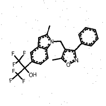 Cc1onc(-c2ccccc2)c1Cn1c(C)cc2cc(C(O)(C(F)(F)F)C(F)(F)F)ccc21